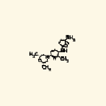 Cc1nc(N2C[C@@H](C)O[C@@H](C)C2)ccc1NC12CCC(N)(CC1)C2